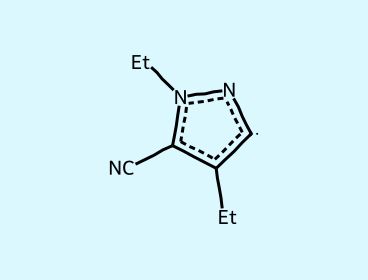 CCc1[c]nn(CC)c1C#N